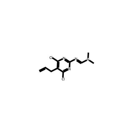 C=CCc1c(Cl)nc(N=CN(C)C)nc1Cl